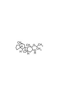 CC(C)OC1C[C@@]2(C)[C@@H](CC[C@H]3[C@@H]4CCC[C@@]4(C)CC[C@@H]32)C[C@@H]1O